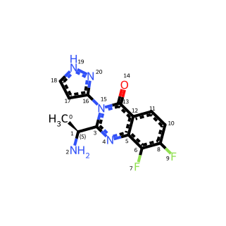 C[C@H](N)c1nc2c(F)c(F)ccc2c(=O)n1-c1cc[nH]n1